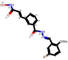 COc1ccc(Br)cc1/C=N/NC(=O)c1cccc(/C=C/C(=O)NO)c1